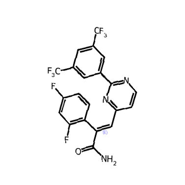 NC(=O)/C(=C/c1ccnc(-c2cc(C(F)(F)F)cc(C(F)(F)F)c2)n1)c1ccc(F)cc1F